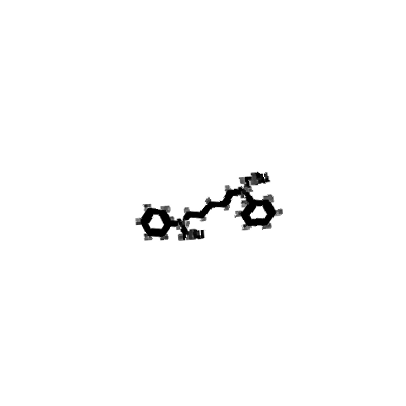 CCCCN(CCCCCN(CCCC)c1ccccc1)c1ccccc1